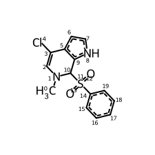 CN1C=C(Cl)c2cc[nH]c2C1S(=O)(=O)c1ccccc1